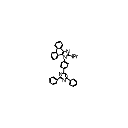 CC(C)c1nc2c3ccccc3c3ccccc3c2n1-c1ccc(-c2nc(-c3ccccc3)nc(-c3ccccc3)n2)cc1